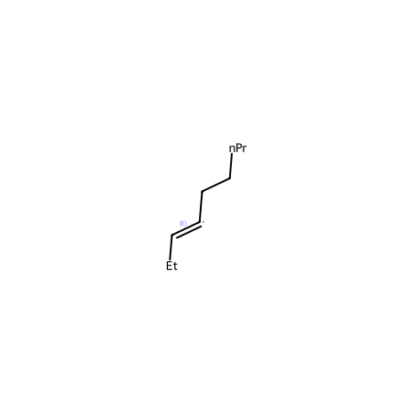 CC/C=[C]/CCCCC